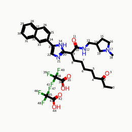 CCC(=O)CCCCCC(C(=O)NCC1CCN(C)C1)c1ncc(-c2ccc3ccccc3c2)[nH]1.O=C(O)C(F)(F)F.O=C(O)C(F)(F)F